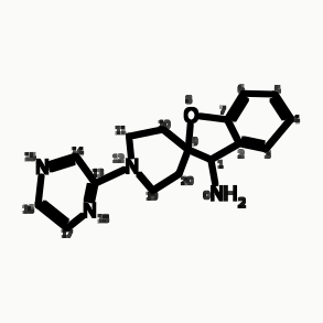 NC1c2ccccc2OC12CCN(c1cnccn1)CC2